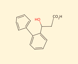 O=C(O)CC(O)c1ccccc1-c1ccccc1